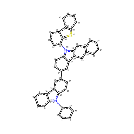 c1ccc(-n2c3ccccc3c3cc(-c4ccc5c(c4)c4cc6ccccc6cc4n5-c4cccc5c4sc4ccccc45)ccc32)cc1